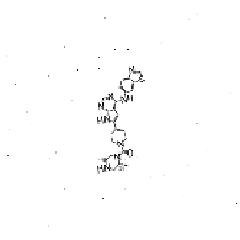 C[C@@H]1CN(C(=O)N2CC=C(c3cc4c(Nc5ccc6ncsc6c5)ncnc4[nH]3)CC2)[C@@H](C)CN1